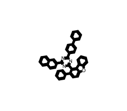 c1ccc(-c2ccc(-c3nc(-c4ccc5ccccc5c4)nc(-c4c(-c5ccccc5)ccc5oc6ccccc6c45)n3)cc2)cc1